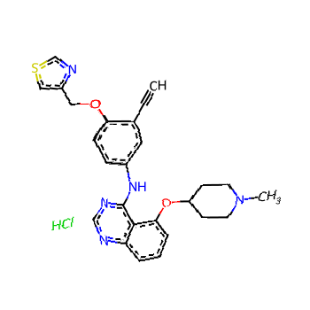 C#Cc1cc(Nc2ncnc3cccc(OC4CCN(C)CC4)c23)ccc1OCc1cscn1.Cl